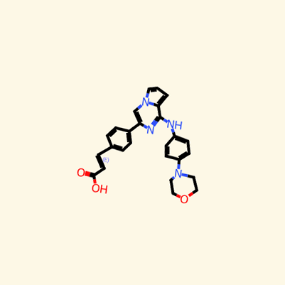 O=C(O)/C=C/c1ccc(-c2cn3cccc3c(Nc3ccc(N4CCOCC4)cc3)n2)cc1